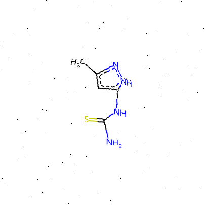 Cc1cc(NC(N)=S)[nH]n1